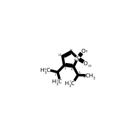 CC(C)C1=C(C(C)C)S(=O)(=O)C=C1